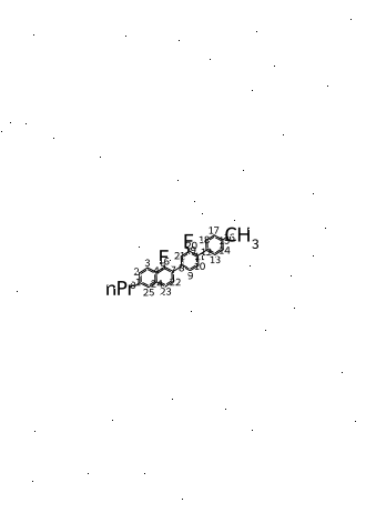 CCCc1ccc2c(F)c(-c3ccc(-c4ccc(C)cc4)c(F)c3)ccc2c1